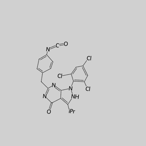 CC(C)c1[nH]n(-c2c(Cl)cc(Cl)cc2Cl)c2nc(Cc3ccc(N=C=O)cc3)nc(=O)c1-2